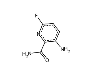 NC(=O)c1nc(F)ccc1N